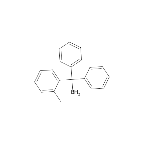 BC(c1ccccc1)(c1ccccc1)c1ccccc1C